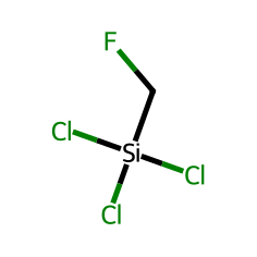 FC[Si](Cl)(Cl)Cl